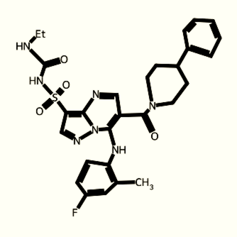 CCNC(=O)NS(=O)(=O)c1cnn2c(Nc3ccc(F)cc3C)c(C(=O)N3CCC(c4ccccc4)CC3)cnc12